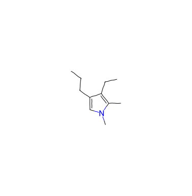 CCCc1cn(C)c(C)c1CC